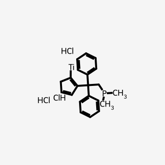 CP(C)CC(C1=[C]([Ti])CC=C1)(c1ccccc1)c1ccccc1.Cl.Cl.Cl